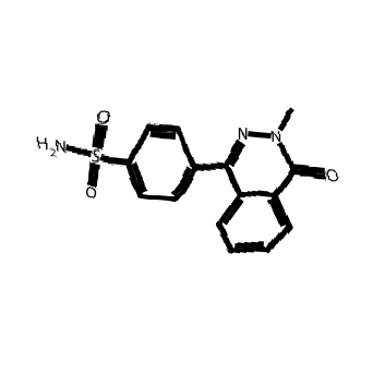 Cn1nc(-c2ccc(S(N)(=O)=O)cc2)c2ccccc2c1=O